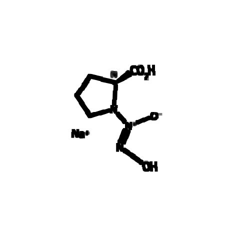 O=C(O)[C@@H]1CCCN1[N+]([O-])=NO.[Na+]